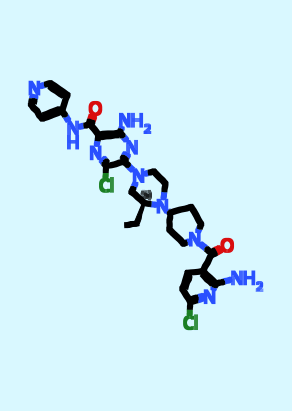 CC[C@H]1CN(c2nc(N)c(C(=O)Nc3ccncc3)nc2Cl)CCN1C1CCN(C(=O)c2ccc(Cl)nc2N)CC1